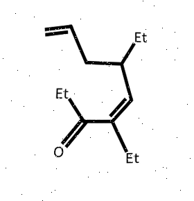 C=CCC(C=C(CC)C(=O)CC)CC